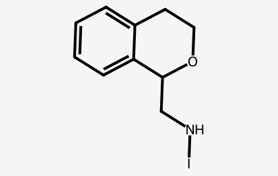 INCC1OCCc2ccccc21